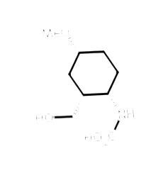 CO[C@@H]1CC[C@H](NC(=O)O)[C@H](CO)C1